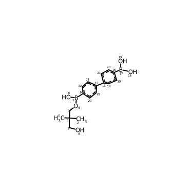 CC(C)(CO)COB(O)c1ccc(-c2ccc(B(O)O)cc2)cc1